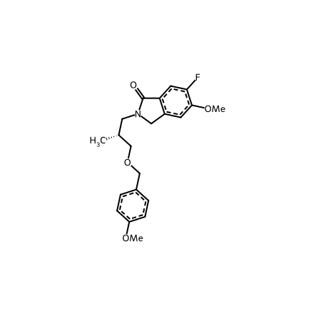 COc1ccc(COC[C@H](C)CN2Cc3cc(OC)c(F)cc3C2=O)cc1